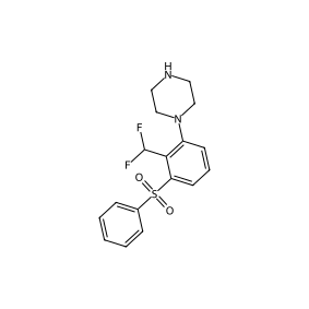 O=S(=O)(c1ccccc1)c1cccc(N2CCNCC2)c1C(F)F